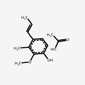 CC(=O)O.CC=Cc1ccc(O)c(OC)c1C